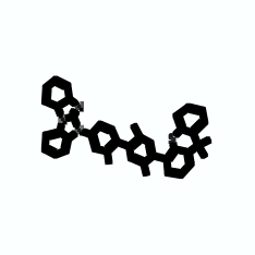 Cc1cc(N2C3=NC4C=CC=CC4N3c3ccccc32)ccc1-c1cc(C)c(-c2cccc3c2Sc2ccccc2C3(C)C)cc1C